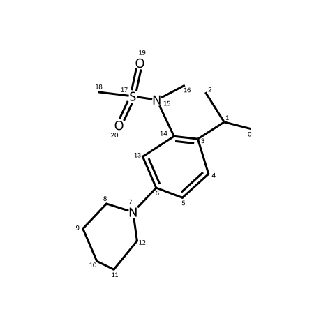 CC(C)c1ccc(N2CCCCC2)cc1N(C)S(C)(=O)=O